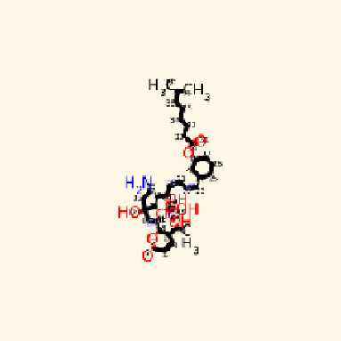 CCC1C=CC(=O)O[C@H]1/C=C/[C@](O)(CCN)[C@@H](C[C@@H](O)/C=C\C=C/[C@@H]1CCC[C@H](OC(=O)CCCCCC(C)C)C1)OP(=O)(O)O